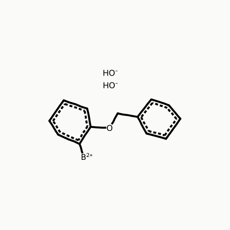 [B+2]c1ccccc1OCc1ccccc1.[OH-].[OH-]